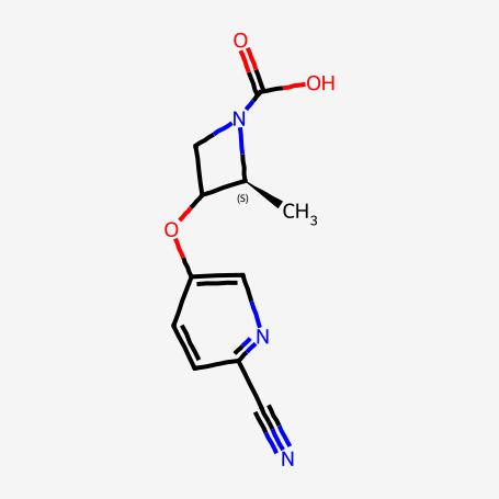 C[C@H]1C(Oc2ccc(C#N)nc2)CN1C(=O)O